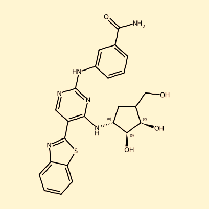 NC(=O)c1cccc(Nc2ncc(-c3nc4ccccc4s3)c(N[C@@H]3CC(CO)[C@@H](O)[C@H]3O)n2)c1